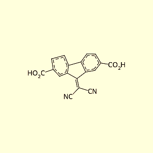 N#CC(C#N)=C1c2cc(C(=O)O)ccc2-c2ccc(C(=O)O)cc21